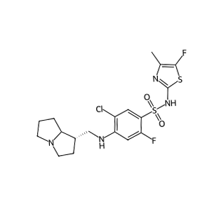 Cc1nc(NS(=O)(=O)c2cc(Cl)c(NC[C@@H]3CCN4CCCC34)cc2F)sc1F